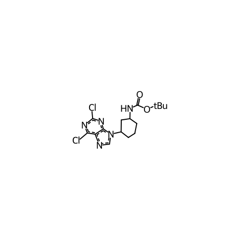 CC(C)(C)OC(=O)NC1CCCC(n2cnc3c(Cl)nc(Cl)nc32)C1